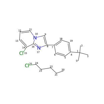 CC(C)(C)c1ccc(-c2cn3cccc(Cl)c3n2)cc1.CCCCCCl